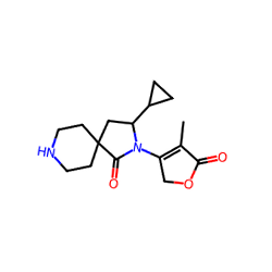 CC1=C(N2C(=O)C3(CCNCC3)CC2C2CC2)COC1=O